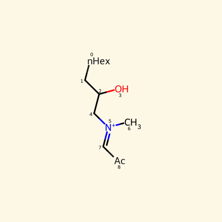 CCCCCCCC(O)C/[N+](C)=C/C(C)=O